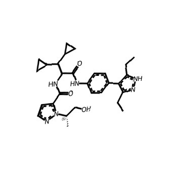 CCc1n[nH]c(CC)c1-c1ccc(NC(=O)C(NC(=O)c2ccnn2[C@@H](C)CO)C(C2CC2)C2CC2)cc1